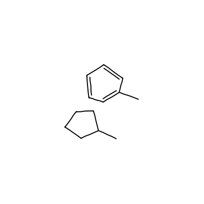 CC1CCCC1.Cc1ccccc1